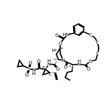 C=C[C@@H]1C[C@]1(NC(=O)[C@@H]1C[C@@H]2CN1C(=O)[C@H](CCCC)NC(=O)OCCCCCCc1cccc(c1)NC(=O)O2)C(=O)NS(=O)(=O)C1CC1